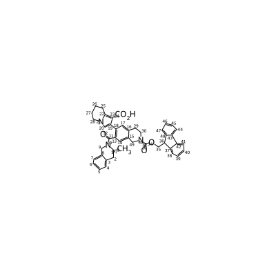 C[C@@H]1Cc2ccccc2CN1C(=O)c1cc2c(cc1-c1cn3c(c1C(=O)O)CCCC3)CCN(C(=O)OCC1c3ccccc3-c3ccccc31)C2